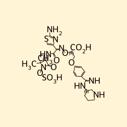 CC1(C)[C@H](NC(=O)C(=NO[C@H](COc2ccc(C(=N)N[C@@H]3CCCNC3)cc2)C(=O)O)c2csc(N)n2)C(=O)N1OS(=O)(=O)O